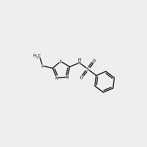 CSc1nnc(NS(=O)(=O)c2ccccc2)s1